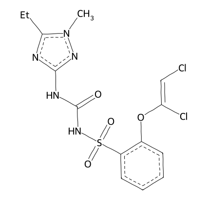 CCc1nc(NC(=O)NS(=O)(=O)c2ccccc2O/C(Cl)=C/Cl)nn1C